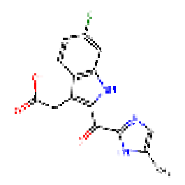 Cc1cnc(C(=O)c2[nH]c3cc(Cl)ccc3c2CC(=O)O)[nH]1